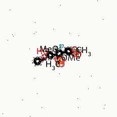 COc1c(OS(C)(=O)=O)c(-c2ccc(OCc3ccccc3)c(O)c2)c(OC)c(F)c1-c1ccc(OS(C)(=O)=O)cc1